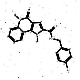 Cn1c(C(=O)NCc2ccc(Cl)cc2)cc2c(=O)n(C)c3ccccc3c21